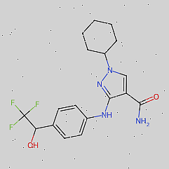 NC(=O)c1cn(C2CCCCC2)nc1Nc1ccc(C(O)C(F)(F)F)cc1